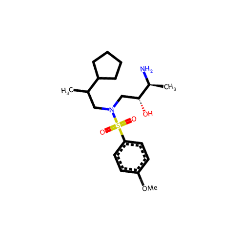 COc1ccc(S(=O)(=O)N(CC(C)C2CCCC2)C[C@@H](O)[C@H](C)N)cc1